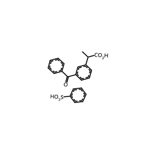 CC(C(=O)O)c1cccc(C(=O)c2ccccc2)c1.O=S(=O)(O)c1ccccc1